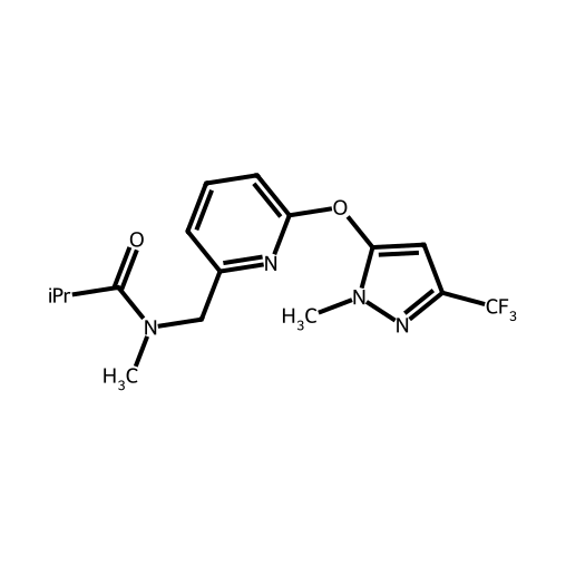 CC(C)C(=O)N(C)Cc1cccc(Oc2cc(C(F)(F)F)nn2C)n1